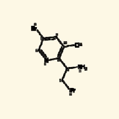 CC(C)CC(N)c1ncc(Br)cc1Cl